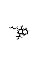 CCCCn1cc(C(C)(C)C)c2ccccc2c1=O